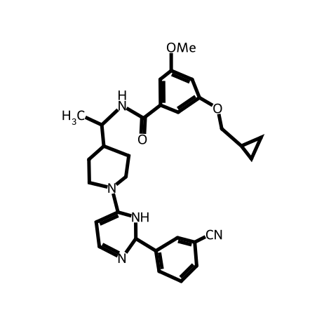 COc1cc(OCC2CC2)cc(C(=O)NC(C)C2CCN(C3=CC=NC(c4cccc(C#N)c4)N3)CC2)c1